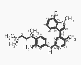 CN(C)CCN(C)c1ccc(Nc2ncc(C(F)(F)F)c(-c3cn(C)c4c(F)cccc34)n2)cc1N